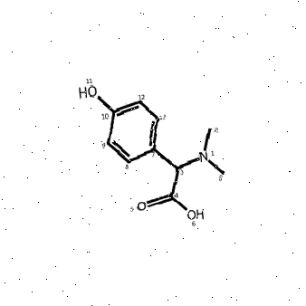 CN(C)C(C(=O)O)c1ccc(O)cc1